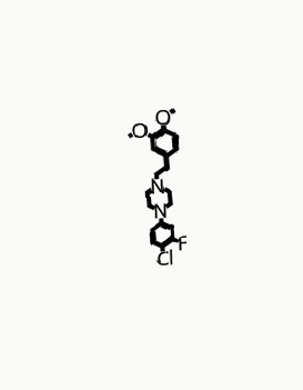 COc1ccc(CCN2CCN(c3ccc(Cl)c(F)c3)CC2)cc1OC